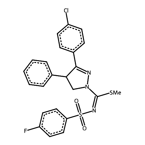 CSC(=NS(=O)(=O)c1ccc(F)cc1)N1CC(c2ccccc2)C(c2ccc(Cl)cc2)=N1